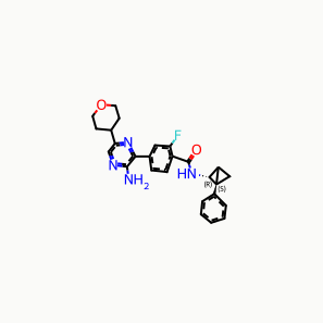 Nc1ncc(C2CCOCC2)nc1-c1ccc(C(=O)N[C@@H]2C3C[C@@]32c2ccccc2)c(F)c1